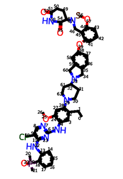 CCc1cc(Nc2ncc(Cl)c(Nc3ccccc3P(C)(C)=O)n2)c(OC)cc1N1CCC(N2Cc3ccc(Oc4cccc5c4CN(C4CCC(=O)NC4=O)SO5)cc3C2)CC1